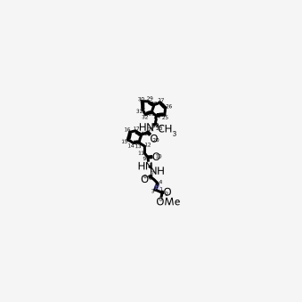 COC(=O)/C=C/C(=O)NNC(=O)CCc1ccccc1C(=O)N[C@H](C)c1cccc2ccccc12